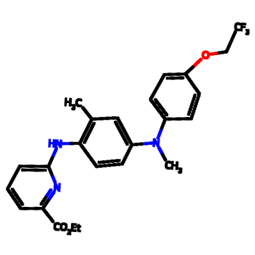 CCOC(=O)c1cccc(Nc2ccc(N(C)c3ccc(OCC(F)(F)F)cc3)cc2C)n1